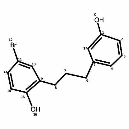 Oc1cccc(CCCc2cc(Br)ccc2O)c1